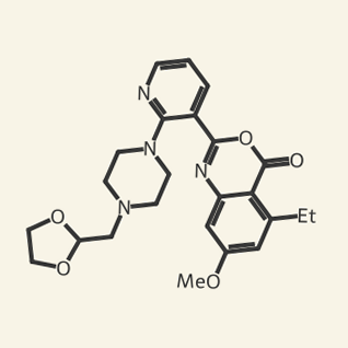 CCc1cc(OC)cc2nc(-c3cccnc3N3CCN(CC4OCCO4)CC3)oc(=O)c12